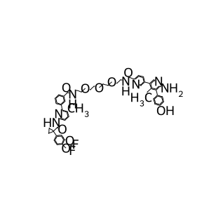 CCc1c(-c2ccc(C(=O)NCCOCCOCCOCCNC(=O)c3cccc(-c4nc(NC(=O)C5(c6ccc7c(c6)OC(F)(F)O7)CC5)ccc4C)c3)nc2)cnc(N)c1-c1ccc(O)cc1